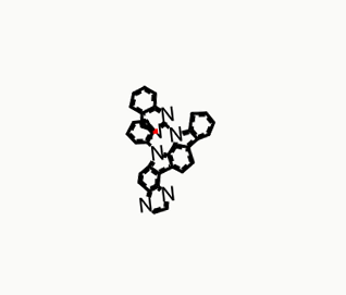 c1ccc(-n2c3ccc4nccnc4c3c3ccc4c5ccccc5n(-c5ncc6ccccc6n5)c4c32)cc1